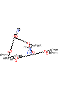 CCCCCC(CCCCC)CC(=O)OCCCCCCCCCC(CCCCCCCCCOC(=O)CC(CCCCC)CC(CCC)C(CCCC)C(CCCCC)CC(=O)OCCCCCCCCCC1(CCCCCCCCCOC(=O)CC(CCCCC)CCCCC)OCC(CCN2CCCC2)O1)NC(=O)CN(C)C